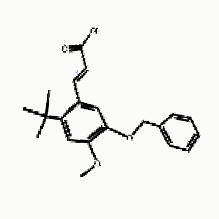 COc1cc(C(C)(C)C)c(/C=C/C(=O)O)cc1OCc1ccccc1